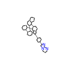 c1ccc2c(c1)-c1ccccc1C21c2ccc3ccccc3c2-c2ccc3cc(-c4ccc(-c5cn6cccnc6n5)cc4)ccc3c21